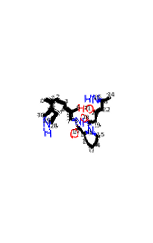 C=C(/C=C\C=C(/C)CNC(=O)C1CCCCN1C(=O)C/C(O)=C/C(C)=N)c1cc[nH]c1